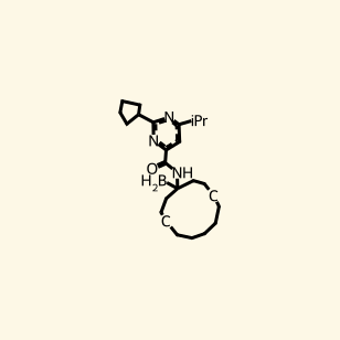 BC1(NC(=O)c2cc(C(C)C)nc(C3CCCC3)n2)CCCCCCCCCCC1